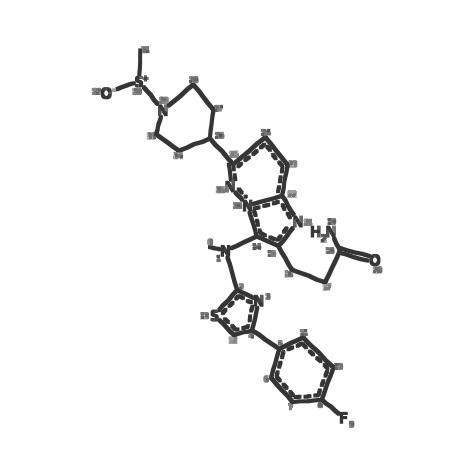 CN(c1nc(-c2ccc(F)cc2)cs1)c1c(CCC(N)=O)nc2ccc(C3CCN([S+](C)[O-])CC3)nn12